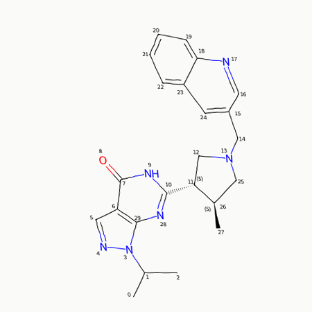 CC(C)n1ncc2c(=O)[nH]c([C@@H]3CN(Cc4cnc5ccccc5c4)C[C@H]3C)nc21